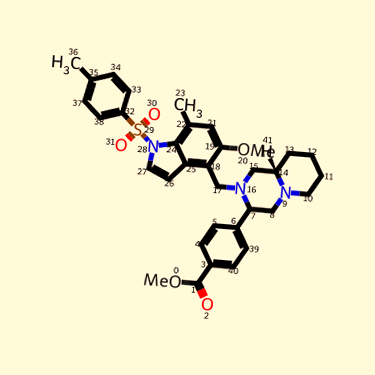 COC(=O)c1ccc(C2CN3CCCC[C@H]3CN2Cc2c(OC)cc(C)c3c2ccn3S(=O)(=O)c2ccc(C)cc2)cc1